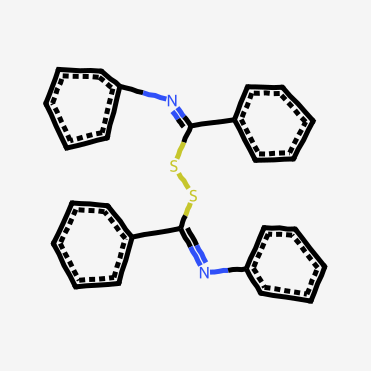 c1ccc(/N=C(\SS/C(=N\c2ccccc2)c2ccccc2)c2ccccc2)cc1